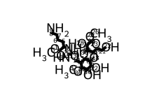 COC(=O)C(CCCCN)NC(=N)OCC1C[C@@H](O[C@@H]2C(CO)O[C@@H](OC)C(O)[C@H]2O)C(O)[C@@H](O)[C@@H]1OC